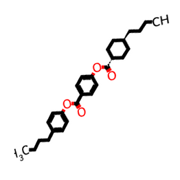 CCCCc1ccc(OC(=O)c2ccc(OC(=O)[C@H]3CC[C@H](CCCC)CC3)cc2)cc1